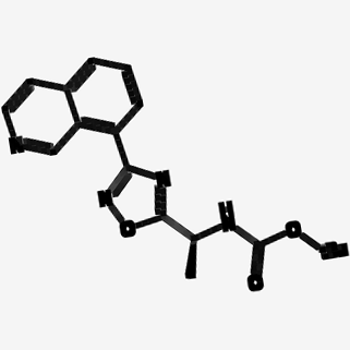 C[C@H](NC(=O)OC(C)(C)C)c1nc(-c2cccc3ccncc23)no1